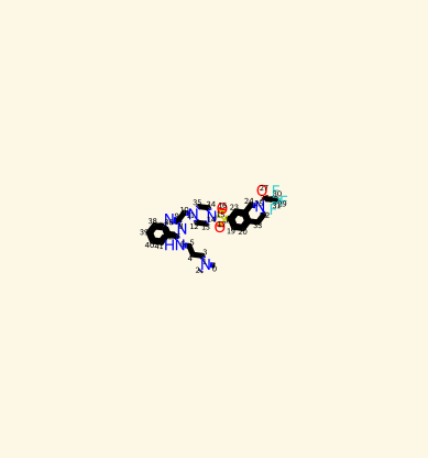 CN(C)CCCNc1nc(CN2CCN(S(=O)(=O)c3ccc4c(c3)CN(C(=O)C(F)(F)F)CC4)CC2)nc2ccccc12